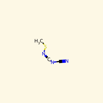 CSN=C=NC#N